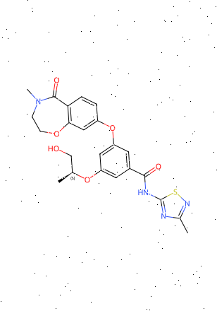 Cc1nsc(NC(=O)c2cc(Oc3ccc4c(c3)OCCN(C)C4=O)cc(O[C@@H](C)CO)c2)n1